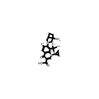 NC12CCC1CN(c1c(F)cc3c(=O)c(C(=O)O)cn(C4CC4)c3c1C(F)(F)F)C2